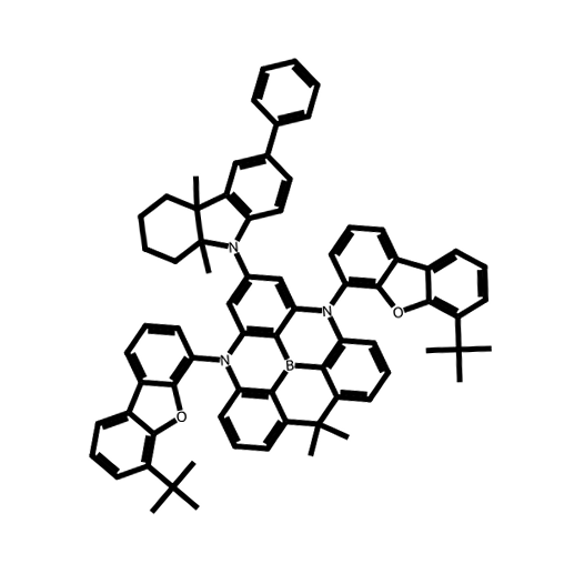 CC(C)(C)c1cccc2c1oc1c(N3c4cc(N5c6ccc(-c7ccccc7)cc6C6(C)CCCCC56C)cc5c4B4c6c3cccc6C(C)(C)c3cccc(c34)N5c3cccc4c3oc3c(C(C)(C)C)cccc34)cccc12